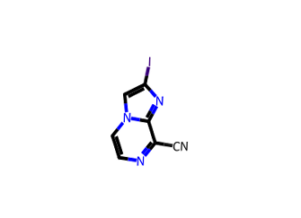 N#Cc1nccn2cc(I)nc12